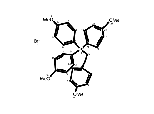 COc1ccc(C[P+](c2ccc(OC)cc2)(c2ccc(OC)cc2)c2ccc(OC)cc2)cc1.[Br-]